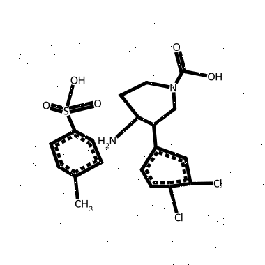 Cc1ccc(S(=O)(=O)O)cc1.NC1CCN(C(=O)O)CC1c1ccc(Cl)c(Cl)c1